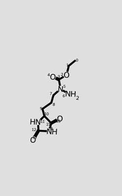 CCOC(=O)N(N)CCCC1NC(=O)NC1=O